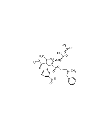 COC(=O)C1=C(C)NC(C)=C(C(=O)OCCN(C)Cc2ccccc2)C1c1cccc([N+](=O)[O-])c1.O=[N+]([O-])O.O=[N+]([O-])O